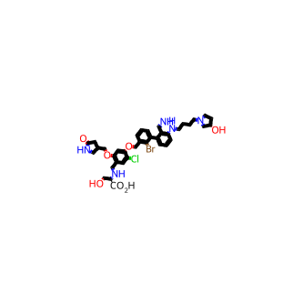 N=Cc1c(NCCCCN2CC[C@@H](O)C2)cccc1-c1cccc(COc2cc(OCC3CNC(=O)C3)c(CN[C@@H](CO)C(=O)O)cc2Cl)c1Br